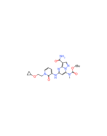 CN(C(=O)OC(C)(C)C)c1cc(Nc2cccn(CCOC3CC3)c2=O)nc2c(C(N)=O)cnn12